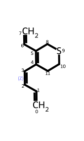 C=C/C=C\C1=C(C=C)CSCC1